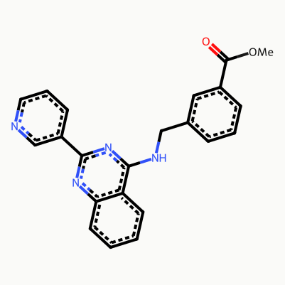 COC(=O)c1cccc(CNc2nc(-c3cccnc3)nc3ccccc23)c1